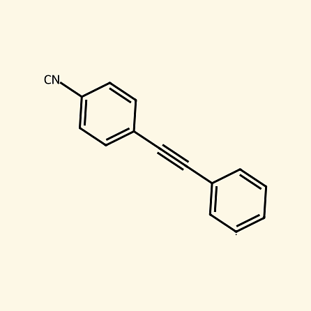 [C-]#[N+]c1ccc(C#Cc2c[c]ccc2)cc1